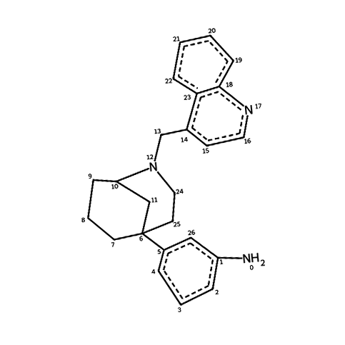 Nc1cccc(C23CCCC(C2)N(Cc2ccnc4ccccc24)CC3)c1